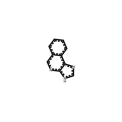 c1ccc2c(c1)cnc1[nH]cnc12